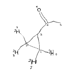 [2H]C1([2H])C(C(C)=O)C1([2H])[2H]